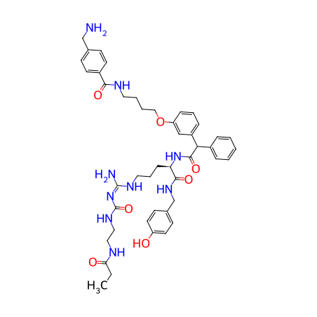 CCC(=O)NCCNC(=O)/N=C(/N)NCCC[C@@H](NC(=O)C(c1ccccc1)c1cccc(OCCCCNC(=O)c2ccc(CN)cc2)c1)C(=O)NCc1ccc(O)cc1